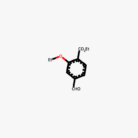 CCOC(=O)c1ccc(C=O)cc1OCC